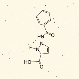 O=C(NN1C=CC(C(=O)O)N1F)c1ccccc1